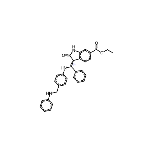 CCOC(=O)c1ccc2c(c1)NC(=O)/C2=C(\Nc1ccc(CNc2ccccc2)cc1)c1ccccc1